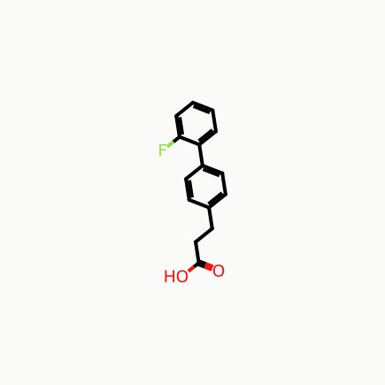 O=C(O)CCc1ccc(-c2ccccc2F)cc1